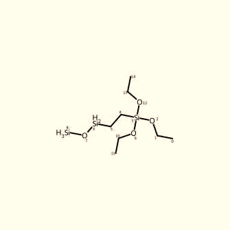 CCO[Si](CC[SiH2]O[SiH3])(OCC)OCC